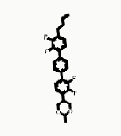 C=CCCc1ccc(-c2ccc(-c3ccc(C4COC(C)OC4)c(F)c3F)cc2)c(F)c1F